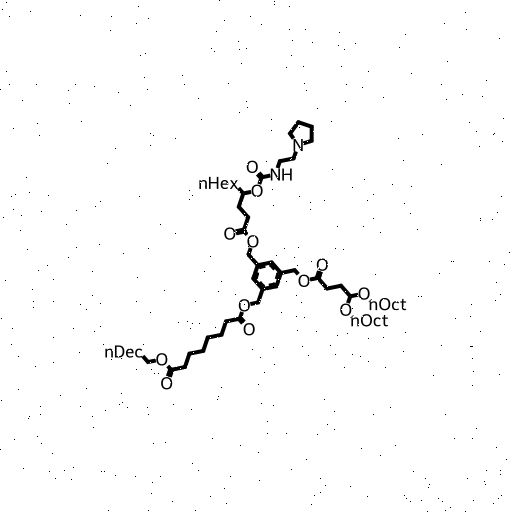 CCCCCCCCCCCOC(=O)CCCCCCC(=O)OCc1cc(COC(=O)CCC(CCCCCC)OC(=O)NCCN2CCCC2)cc(COC(=O)CCC(OCCCCCCCC)OCCCCCCCC)c1